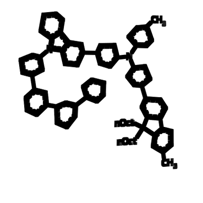 CCCCCCCCC1(CCCCCCCC)c2cc(C)ccc2-c2ccc(-c3ccc(N(c4ccc(C)cc4)c4ccc(-c5ccc6c(c5)c5ccccc5n6-c5cccc(-c6cccc(-c7cccc(-c8ccccc8)c7)c6)c5)cc4)cc3)cc21